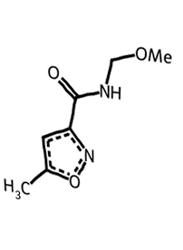 COCNC(=O)c1cc(C)on1